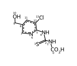 O=C(O)NC(=S)Nc1ncc(CO)cc1Cl